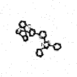 c1ccc(-c2cc(-c3ccccc3)nc(-c3cccc(-c4ccc5c(c4)Oc4ccccc4C54c5ccccc5-c5ccccc54)n3)n2)cc1